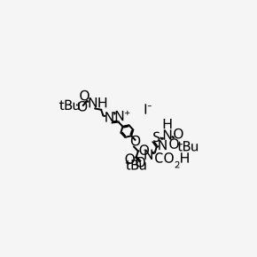 C[n+]1cn(CCCNC(=O)OC(C)(C)C)cc1-c1ccc(OCC(ON=C(C(=O)O)c2csc(NC(=O)OC(C)(C)C)n2)C(=O)OC(C)(C)C)cc1.[I-]